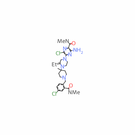 CC[C@H]1CN(c2nc(N)c(C(=O)NC)nc2Cl)CCN1C1(C)CCN(Cc2ccc(Cl)cc2C(=O)NC)CC1